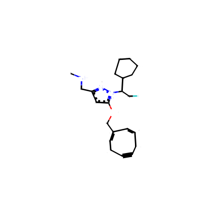 CNCc1cc(OCC2=C/CC#CC/C=C\2)n(C(CF)C2CCCCC2)n1